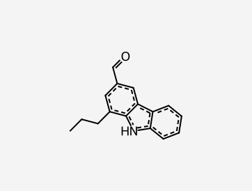 CCCc1cc(C=O)cc2c1[nH]c1ccccc12